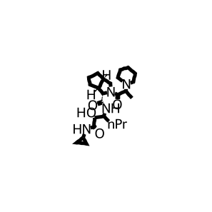 CCCC(NC(=O)[C@@H]1[C@H]2CCC[C@H]2CN1C(=O)C(C)N1CCCCC1)C(O)C(=O)NC1CC1